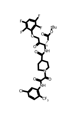 CC(C)(C)OC(=O)C[C@H](NC(=O)C1CCN(C(=O)C(=O)Nc2cc(Cl)ccc2C(F)(F)F)CC1)C(=O)COc1c(F)c(F)cc(F)c1F